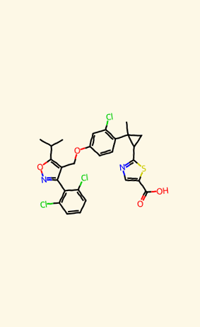 CC(C)c1onc(-c2c(Cl)cccc2Cl)c1COc1ccc(C2(C)CC2c2ncc(C(=O)O)s2)c(Cl)c1